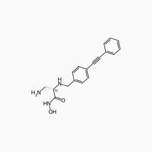 NC[C@H](NCc1ccc(C#Cc2ccccc2)cc1)C(=O)NO